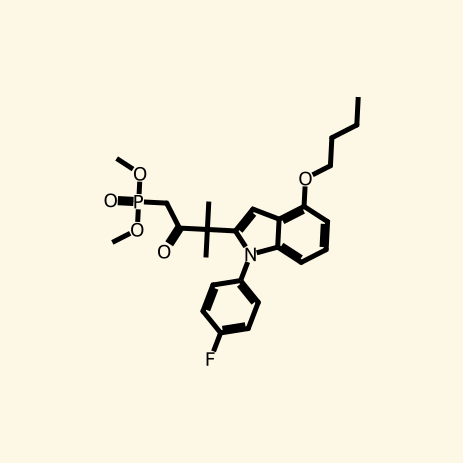 CCCCOc1cccc2c1cc(C(C)(C)C(=O)CP(=O)(OC)OC)n2-c1ccc(F)cc1